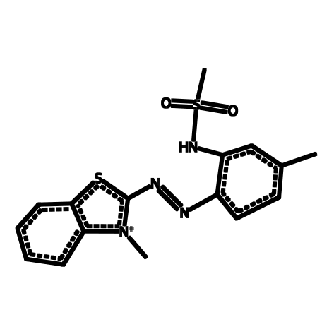 Cc1ccc(N=Nc2sc3ccccc3[n+]2C)c(NS(C)(=O)=O)c1